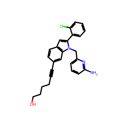 Nc1cccc(Cn2c(-c3ccccc3Cl)cc3ccc(C#CCCCCO)cc32)n1